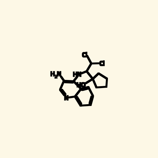 Nc1cnc2ccccc2c1NC(C(Cl)Cl)C1(O)CCCC1